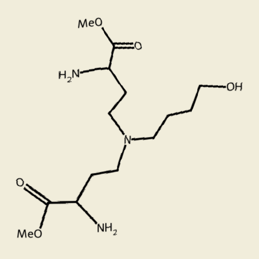 COC(=O)C(N)CCN(CCCCO)CCC(N)C(=O)OC